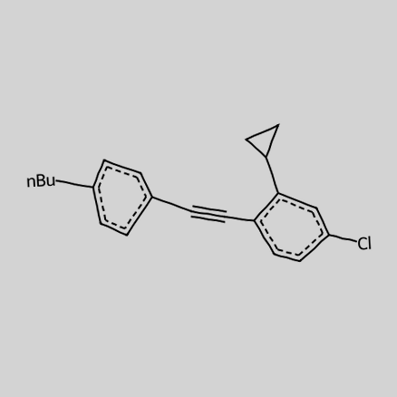 CCCCc1ccc(C#Cc2ccc(Cl)cc2C2CC2)cc1